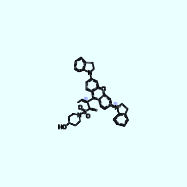 C=C(/C(=C\C)c1c2cc/c(=[N+]3/CCc4ccccc43)cc-2oc2cc(N3CCc4ccccc43)ccc12)S(=O)(=O)N1CCC(O)CC1